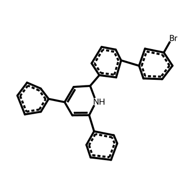 Brc1cccc(-c2cccc(C3C=C(c4ccccc4)C=C(c4ccccc4)N3)c2)c1